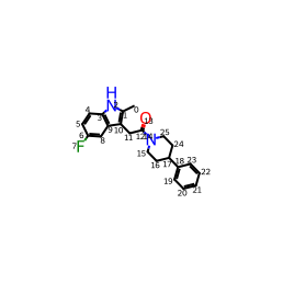 Cc1[nH]c2ccc(F)cc2c1CC(=O)N1CCC(c2ccccc2)CC1